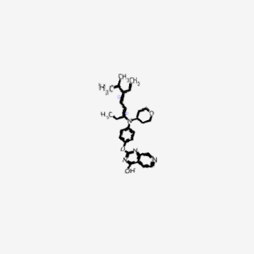 C=C/C(=C\C=C(/CC)N(c1ccc(Oc2nc(O)c3ccncc3n2)cc1)C1CCOCC1)C(C)C